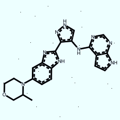 CC1COCCN1c1ccc2[nH]c(-c3n[nH]cc3Nc3ncnc4[nH]ccc34)nc2c1